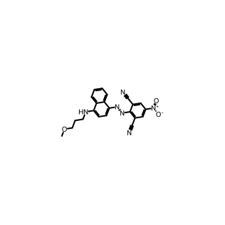 COCCCNc1ccc(N=Nc2c(C#N)cc([N+](=O)[O-])cc2C#N)c2ccccc12